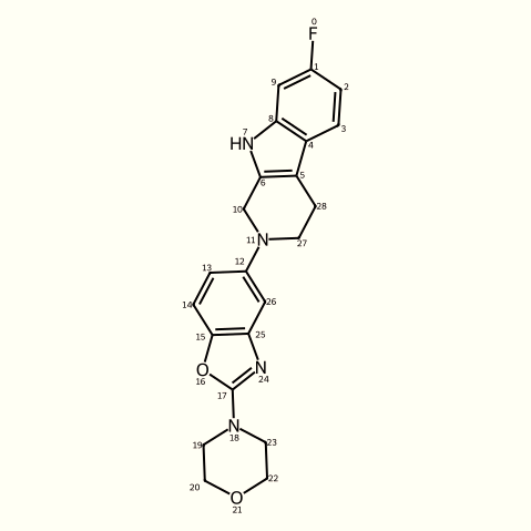 Fc1ccc2c3c([nH]c2c1)CN(c1ccc2oc(N4CCOCC4)nc2c1)CC3